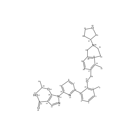 Cc1cccc(-c2cccc(-n3ncc(C(=O)O)c3OC(C)C)n2)c1OCc1ccc2c(c1C)CCN(C1CCOC1)C2